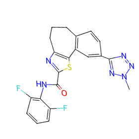 Cn1nnc(-c2ccc3c(c2)-c2sc(C(=O)Nc4c(F)cccc4F)nc2CCC3)n1